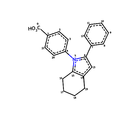 O=C(O)c1ccc(-n2c(-c3ccccc3)cc3c2CCCC3)cc1